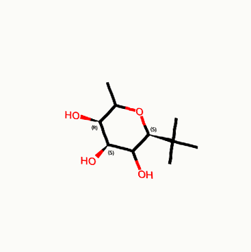 CC1O[C@@H](C(C)(C)C)C(O)[C@@H](O)[C@H]1O